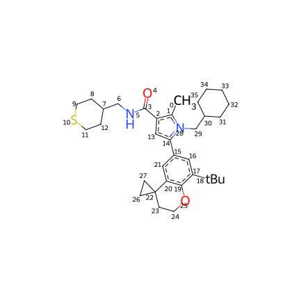 Cc1c(C(=O)NCC2CCSCC2)cc(-c2cc(C(C)(C)C)c3c(c2)C2(CCO3)CC2)n1CC1CCCCC1